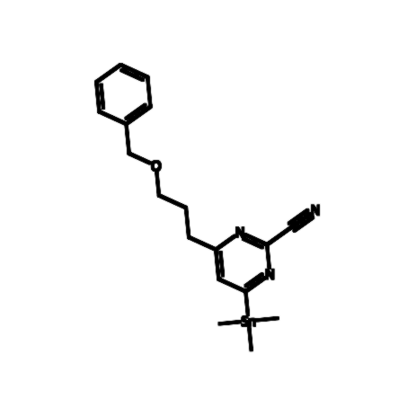 [CH3][Sn]([CH3])([CH3])[c]1cc(CCCOCc2ccccc2)nc(C#N)n1